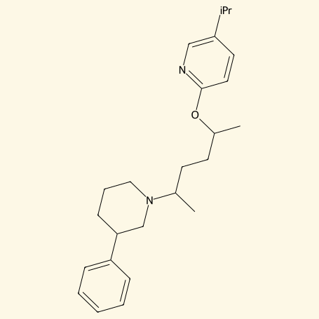 CC(CCC(C)N1CCCC(c2ccccc2)C1)Oc1ccc(C(C)C)cn1